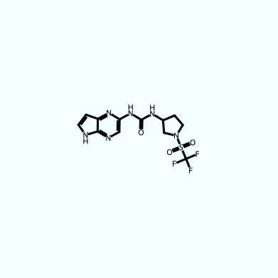 O=C(Nc1cnc2[nH]ccc2n1)NC1CCN(S(=O)(=O)C(F)(F)F)C1